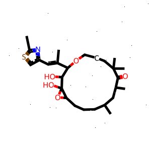 CC(=Cc1csc(C)n1)C1OCCCC(C)(C)C(=O)C(C)CC(C)CCCC2OC2(O)C1O